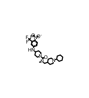 CN(CC1CCN(C2CCCCC2)CC1)C(=O)N1CCC(Nc2ccc([N+](=O)[O-])c(C(F)(F)F)c2)CC1